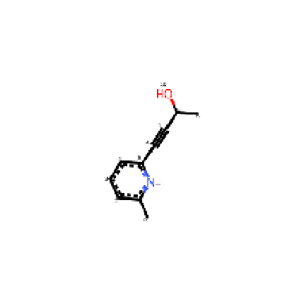 Cc1cccc(C#CC(C)O)n1